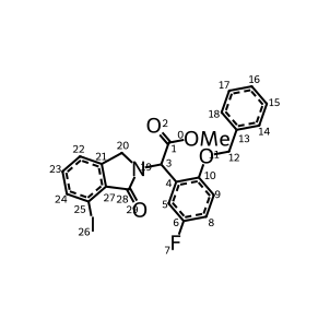 COC(=O)C(c1cc(F)ccc1OCc1ccccc1)N1Cc2cccc(I)c2C1=O